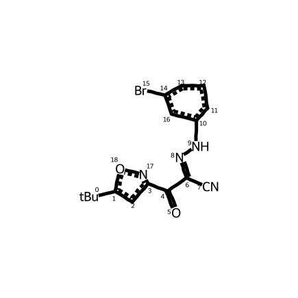 CC(C)(C)c1cc(C(=O)/C(C#N)=N/Nc2cccc(Br)c2)no1